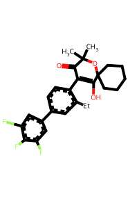 CCc1cc(-c2cc(F)c(F)c(F)c2)ccc1C1=C(O)C2(CCCCC2)OC(C)(C)C1=O